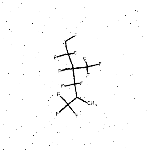 CC(C(F)(F)F)C(F)(F)C(F)(C(F)(F)F)C(F)(F)CF